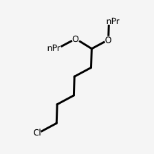 CCCOC(CCCCCCl)OCCC